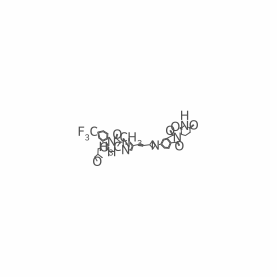 CC(C)(C(=O)Nc1ccc(C(F)(F)F)cc1OCC1COC1)n1cc(C#CC2CN(c3ccc4c(c3)C(=O)N(C3CCC(=O)NC3=O)C4=O)C2)cn1